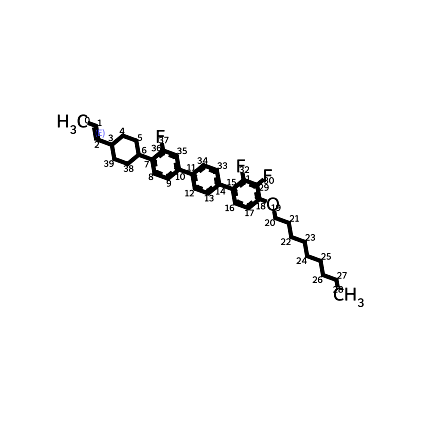 C/C=C/C1CCC(c2ccc(-c3ccc(-c4ccc(OCCCCCCCCC)c(F)c4F)cc3)cc2F)CC1